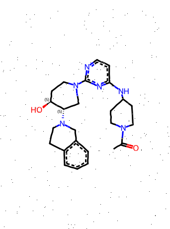 CC(=O)N1CCC(Nc2ccnc(N3CC[C@H](O)[C@@H](N4CCc5ccccc5C4)C3)n2)CC1